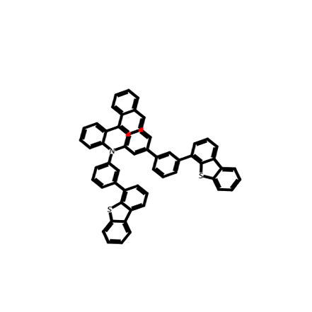 c1cc(-c2cccc(N(c3cccc(-c4cccc5c4sc4ccccc45)c3)c3ccccc3-c3cccc4ccccc34)c2)cc(-c2cccc3c2sc2ccccc23)c1